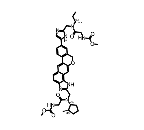 CC[C@H](C)N(Cc1ncc(-c2ccc3c(c2)COc2cc4c(ccc5nc(CN(C(=O)CNC(=O)OC)[C@H]6CCC[C@H]6C)[nH]c54)cc2-3)[nH]1)C(=O)CNC(=O)OC